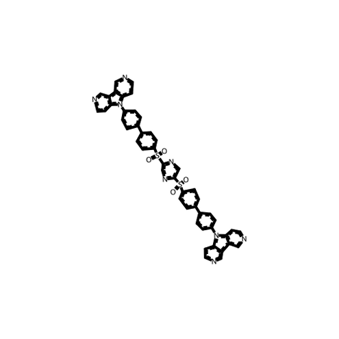 O=S(=O)(c1ccc(-c2ccc(-n3c4ccncc4c4cnccc43)cc2)cc1)c1cnc(S(=O)(=O)c2ccc(-c3ccc(-n4c5ccncc5c5cnccc54)cc3)cc2)cn1